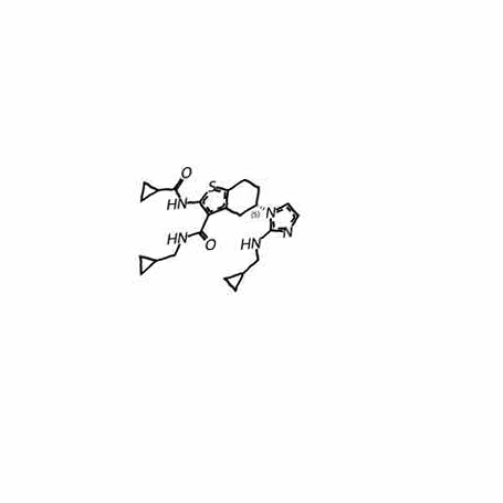 O=C(NCC1CC1)c1c(NC(=O)C2CC2)sc2c1C[C@@H](n1ccnc1NCC1CC1)CC2